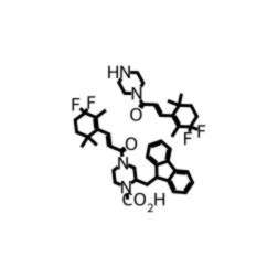 CC1=C(C=CC(=O)N2CCN(C(=O)O)C(CC3c4ccccc4-c4ccccc43)C2)C(C)(C)CCC1(F)F.CC1=C(C=CC(=O)N2CCNCC2)C(C)(C)CCC1(F)F